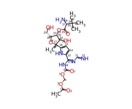 CC(=O)OCOC(=O)N/C(=N/C=N)c1ccc([C@]2(C)O[C@H](CO)[C@@H](OC(=O)[C@@H](N)C(C)(C)C)[C@H]2O)[nH]1